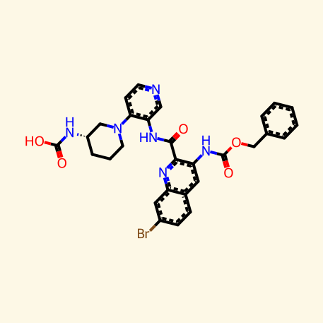 O=C(O)N[C@H]1CCCN(c2ccncc2NC(=O)c2nc3cc(Br)ccc3cc2NC(=O)OCc2ccccc2)C1